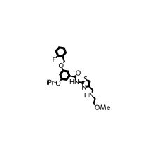 COCCNCc1csc(NC(=O)c2cc(OCc3ccccc3F)cc(OC(C)C)c2)n1